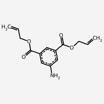 C=CCOC(=O)c1cc(N)cc(C(=O)OCC=C)c1